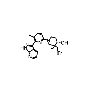 CC(C)C[C@]1(F)CN(c2ccc(F)c(-c3n[nH]c4ncccc34)n2)CC[C@@H]1O